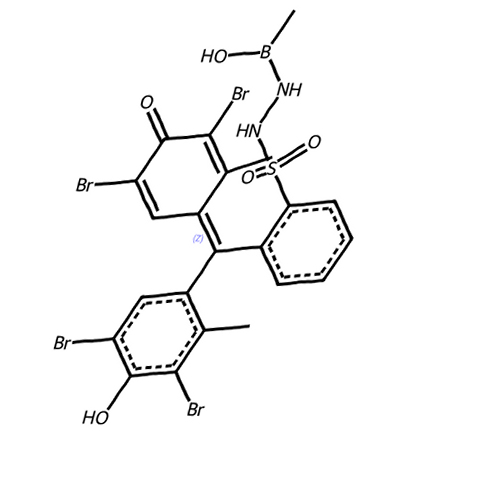 CB(O)NNS(=O)(=O)c1ccccc1/C(=C1/C=C(Br)C(=O)C(Br)=C1C)c1cc(Br)c(O)c(Br)c1C